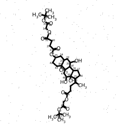 CC(CCC(=O)OCC(=O)OC(C)(C)C)C1CCC2C3C(O)CC4CC(OC(=O)CCC(=O)OCC(=O)OC(C)(C)C)CCC4(C)C3CC(O)C12C